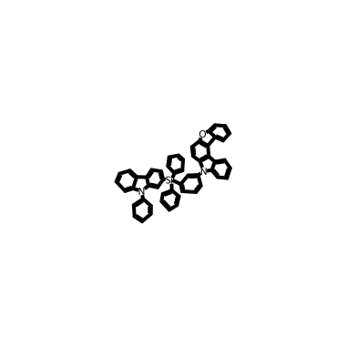 c1ccc(-n2c3ccccc3c3ccc([Si](c4ccccc4)(c4ccccc4)c4cccc(-n5c6ccccc6c6c7c(ccc65)oc5ccccc57)c4)cc32)cc1